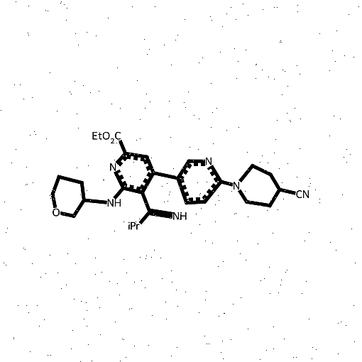 CCOC(=O)c1cc(-c2ccc(N3CCC(C#N)CC3)nc2)c(C(=N)C(C)C)c(NC2CCCOC2)n1